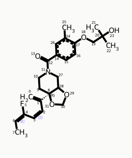 C=C(/C=C\C(F)=C/C)[C@]12CCN(C(=O)c3ccc(OCC(C)(C)O)c(C)c3)CC1OCO2